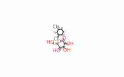 OC[C@@H]1O[C@@H](Oc2ccc(Cl)cc2Cl)[C@H](O)[C@H](O)[C@@H]1O